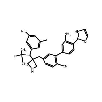 CC(C)(F)[C@@H](c1cc(F)cc(C#N)c1)C1(Cc2ccc(C#N)c(-c3ccc(N4NC=CO4)c(N)c3)c2)CNC1